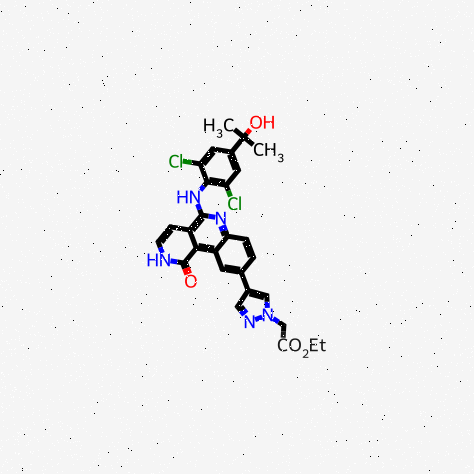 CCOC(=O)Cn1cc(-c2ccc3nc(Nc4c(Cl)cc(C(C)(C)O)cc4Cl)c4cc[nH]c(=O)c4c3c2)cn1